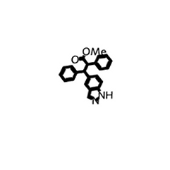 COC(=O)C(c1ccccc1)C(c1ccccc1)c1ccc2[nH]ncc2c1